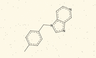 Cc1ccc(Cn2cnc3cnccc32)cc1